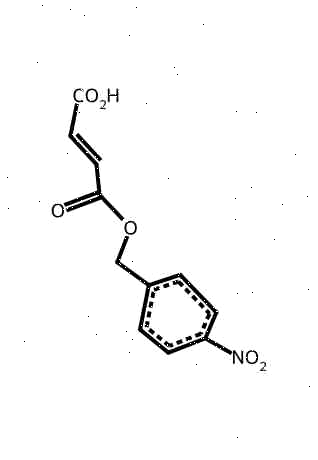 O=C(O)/C=C/C(=O)OCc1ccc([N+](=O)[O-])cc1